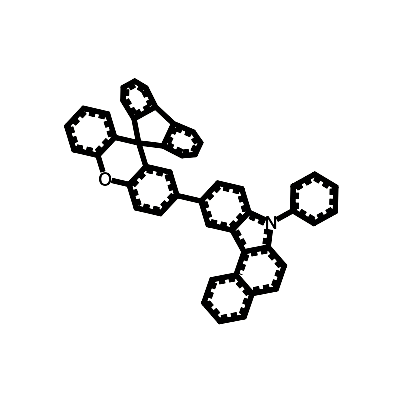 c1ccc(-n2c3ccc(-c4ccc5c(c4)C4(c6ccccc6O5)c5ccccc5-c5ccccc54)cc3c3c4ccccc4ccc32)cc1